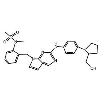 CN(c1ccccc1Cn1ccc2cnc(Nc3ccc(N4CCCC4CO)cc3)nc21)S(C)(=O)=O